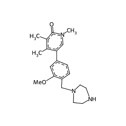 COc1cc(-c2cn(C)c(=O)c(C)c2C)ccc1CN1CCNCC1